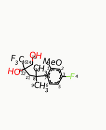 COc1cc(F)ccc1C(C)(C)CC(O)(CO)C(F)(F)F